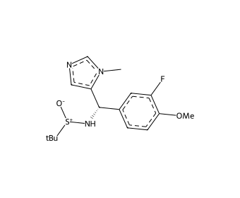 COc1ccc([C@H](N[S+]([O-])C(C)(C)C)c2cncn2C)cc1F